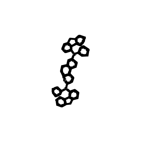 c1ccc(N(c2ccc3c(ccc4cc(N(c5ccccc5)c5cccc6c5-c5ccccc5C6)ccc43)c2)c2cccc3c2-c2ccccc2C3)cc1